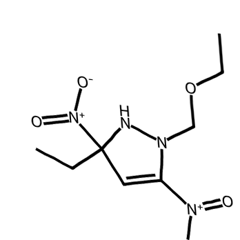 CCOCN1NC(CC)([N+](=O)[O-])C=C1[N+](=O)[O-]